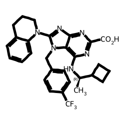 C[C@@H](Nc1nc(C(=O)O)nc2nc(N3CCCc4ccccc43)n(Cc3ccc(C(F)(F)F)cc3)c12)C1CCC1